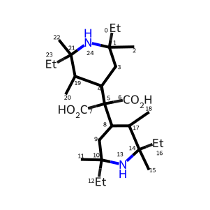 CCC1(C)CC(C(C(=O)O)(C(=O)O)C2CC(C)(CC)NC(C)(CC)C2C)C(C)C(C)(CC)N1